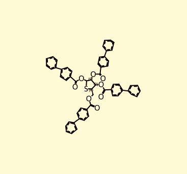 O=C(OC[C@H]1SC(OC(=O)c2ccc(-c3ccccc3)cc2)[C@@H](OC(=O)c2ccc(-c3ccccc3)cc2)[C@H]1OC(=O)c1ccc(-c2ccccc2)cc1)c1ccc(-c2ccccc2)cc1